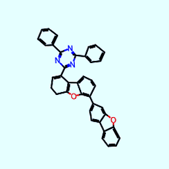 C1=C(c2nc(-c3ccccc3)nc(-c3ccccc3)n2)c2c(oc3c(-c4ccc5c(c4)oc4ccccc45)cccc23)CC1